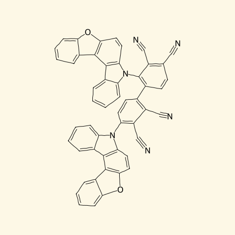 N#Cc1ccc(-c2ccc(-n3c4ccccc4c4c5c(ccc43)oc3ccccc35)c(C#N)c2C#N)c(-n2c3ccccc3c3c4c(ccc32)oc2ccccc24)c1C#N